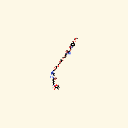 CC(CC(=O)N(C=O)CCCCCC(=O)NCc1cn(CCOCCOCCOCCOCCOCCNC(=O)COCC(=O)Nc2ccc(COC=O)cc2)nn1)C(C)(C)C